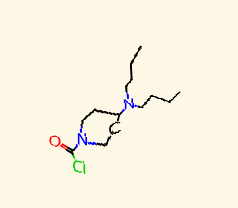 CCCCN(CCCC)C1CCN(C(=O)Cl)CC1